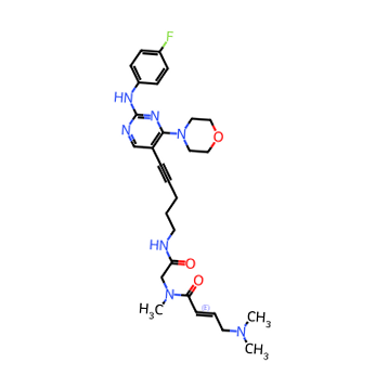 CN(C)C/C=C/C(=O)N(C)CC(=O)NCCCC#Cc1cnc(Nc2ccc(F)cc2)nc1N1CCOCC1